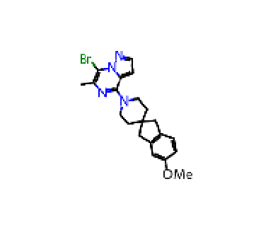 COc1ccc2c(c1)CC1(CCN(c3nc(C)c(Br)n4nccc34)CC1)C2